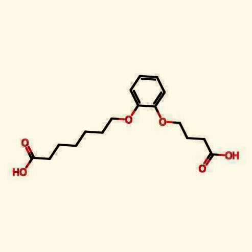 O=C(O)CCCCCCOc1ccccc1OCCCC(=O)O